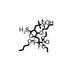 B[C@@H]1O[C@](COCCCC)(CC(F)(F)P(=O)(OCC)OCC)C(OCCCC)C1CC(C)(C)[Si](C)(C)O